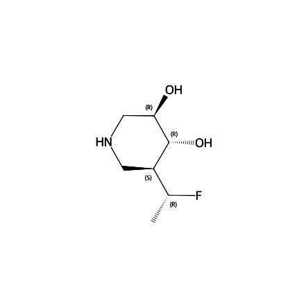 C[C@@H](F)[C@H]1CNC[C@@H](O)[C@@H]1O